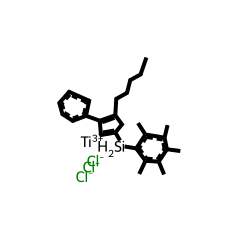 CCCCCC1=C(c2ccccc2)[C]([Ti+3])=C([SiH2]c2c(C)c(C)c(C)c(C)c2C)C1.[Cl-].[Cl-].[Cl-]